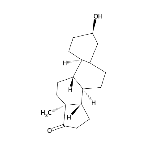 C[C@]12CC[C@H]3[C@@H](CCC4C[C@H](O)CC[C@@H]43)[C@@H]1CCC2=O